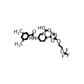 Cc1cc(C)cc(C(=O)N[C@H]2CC[C@H](c3nnc(OCCOC(F)(F)F)o3)N(C(=O)O)C2)c1